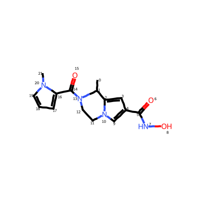 CC1c2cc(C(=O)NO)cn2CCN1C(=O)c1cccn1C